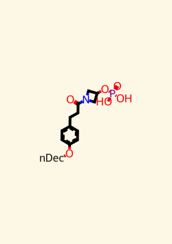 CCCCCCCCCCOc1ccc(CCC(=O)N2CC(OP(=O)(O)O)C2)cc1